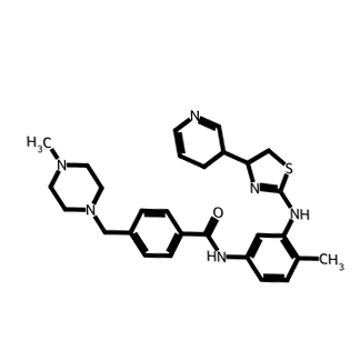 Cc1ccc(NC(=O)c2ccc(CN3CCN(C)CC3)cc2)cc1NC1=NC(C2C=NC=CC2)CS1